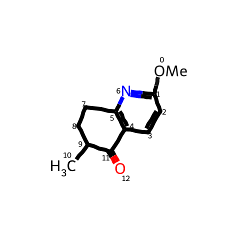 COc1ccc2c(n1)CCC(C)C2=O